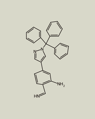 N=Cc1ccc(-c2cnn(C(c3ccccc3)(c3ccccc3)c3ccccc3)c2)cc1N